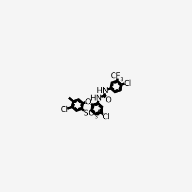 Cc1cc(Oc2ccc(Cl)cc2NC(=O)Nc2ccc(Cl)c(C(F)(F)F)c2)c(S(=O)(=O)O)cc1Cl